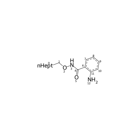 CCCCCCCCONC(=O)c1ccccc1N